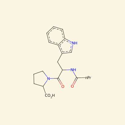 CCCC(=O)NC(Cc1c[nH]c2ccccc12)C(=O)N1CCCC1C(=O)O